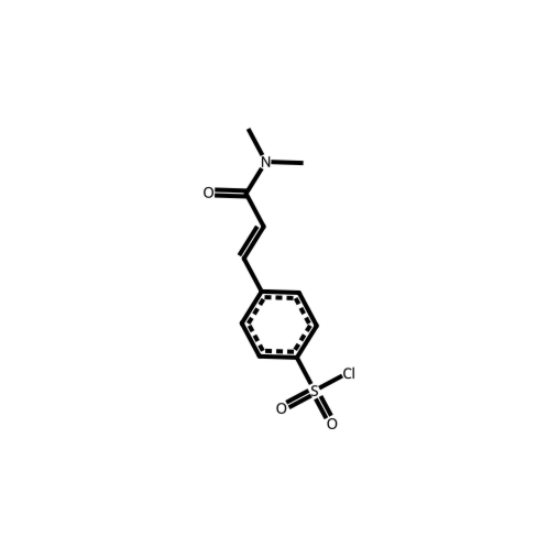 CN(C)C(=O)/C=C/c1ccc(S(=O)(=O)Cl)cc1